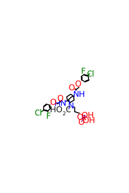 O=C(COc1ccc(Cl)c(F)c1)NC12CCC(NC(=O)COc3ccc(Cl)c(F)c3)(CC1)C(N(CCCOP(=O)(O)O)C(=O)O)C2